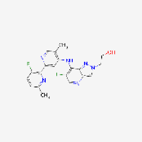 Cc1ccc(F)c(-c2cc(Nc3c(F)cnc4cn(CCO)nc34)c(C)cn2)n1